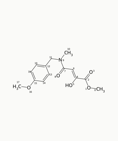 COC(=O)C(O)=CC(=O)N(C)Cc1ccc(OC)cc1